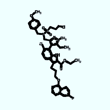 CCOC(=O)c1[nH]c2c(-c3c(CN(Cc4ccc(OC)cc4)S(=O)(=O)CCCCl)nn(C)c3CC)c(Cl)ccc2c1CCCOc1cccc2cc(F)ccc12